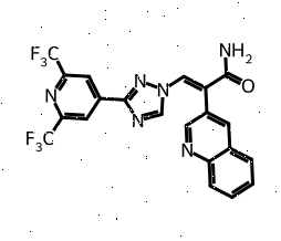 NC(=O)/C(=C/n1cnc(-c2cc(C(F)(F)F)nc(C(F)(F)F)c2)n1)c1cnc2ccccc2c1